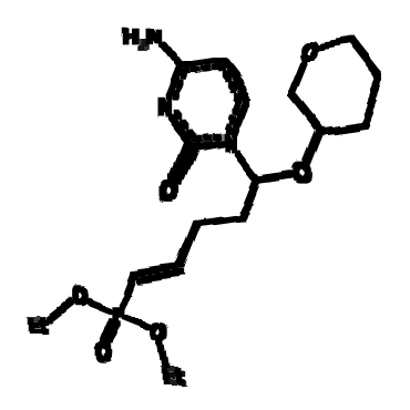 CCOP(=O)(C=CCCC(OC1CCCOC1)n1ccc(N)nc1=O)OCC